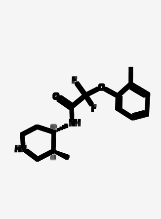 Cc1ccccc1OC(F)(F)C(=O)N[C@H]1CCNC[C@@H]1C